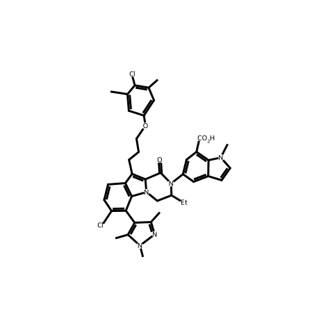 CCC1Cn2c(c(CCCOc3cc(C)c(Cl)c(C)c3)c3ccc(Cl)c(-c4c(C)nn(C)c4C)c32)C(=O)N1c1cc(C(=O)O)c2c(ccn2C)c1